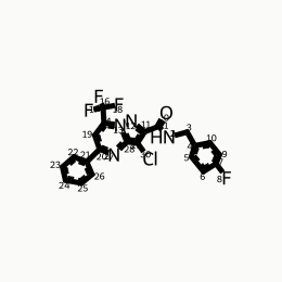 O=C(NCc1ccc(F)cc1)c1nn2c(C(F)(F)F)cc(-c3ccccc3)nc2c1Cl